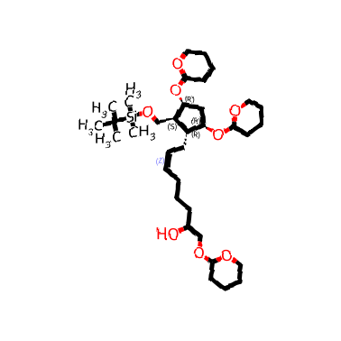 CC(C)(C)[Si](C)(C)OC[C@@H]1[C@@H](C/C=C\CCCC(O)COC2CCCCO2)[C@H](OC2CCCCO2)C[C@H]1OC1CCCCO1